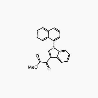 COC(=O)C(=O)c1cn(-c2cccc3ccccc23)c2ccccc12